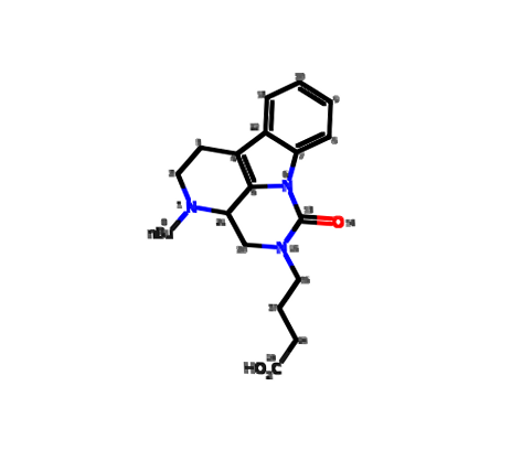 CCCCN1CCc2c3n(c4ccccc24)C(=O)N(CCCC(=O)O)CC31